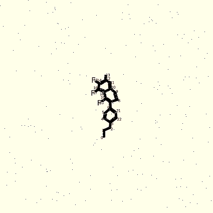 CCCc1ccc(-c2ccc3cc(C)c(F)c(F)c3c2F)cc1